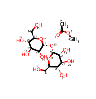 CC(=O)O[SiH3].OC[C@H]1O[C@H](O[C@H]2O[C@H](CO)[C@@H](O)[C@H](O)[C@H]2O)[C@H](O)[C@@H](O)[C@@H]1O